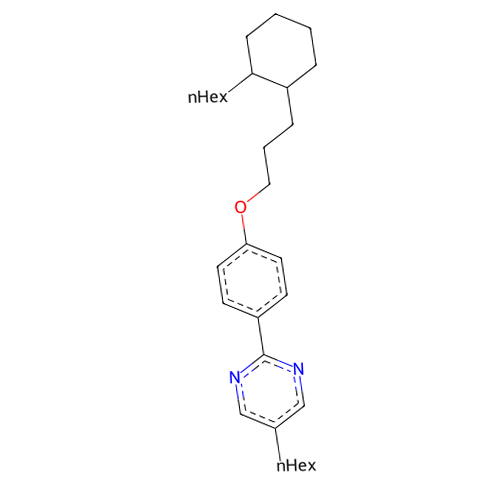 CCCCCCc1cnc(-c2ccc(OCCCC3CCCCC3CCCCCC)cc2)nc1